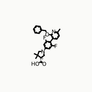 Cc1ccc(-c2c(F)cc(N3C[C@H](C(=O)O)C(C)(C)C3)cc2F)c(OCc2ccccc2)n1